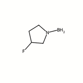 BN1CCC(F)C1